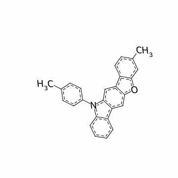 Cc1ccc(-n2c3ccccc3c3cc4oc5cc(C)ccc5c4cc32)cc1